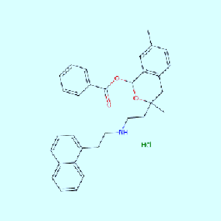 Cc1ccc2c(c1)C(OC(=O)c1ccccc1)OC(C)(CCNCCc1cccc3ccccc13)C2.Cl